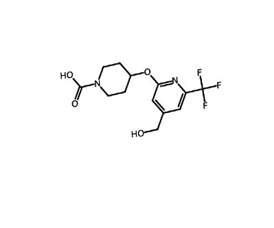 O=C(O)N1CCC(Oc2cc(CO)cc(C(F)(F)F)n2)CC1